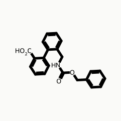 O=C(NCc1ccccc1-c1ccccc1C(=O)O)OCc1ccccc1